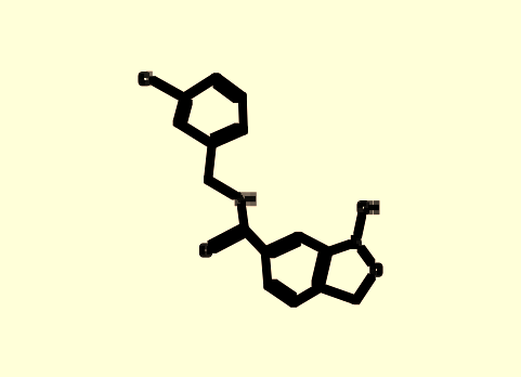 O=C(NCc1cccc(Cl)c1)c1ccc2c(c1)B(O)OC2